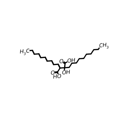 CCCCCCCCCCC(C(=O)O)C(O)(CCCCCCCCCC)C(=O)O